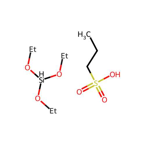 CCCS(=O)(=O)O.CCO[SiH](OCC)OCC